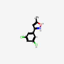 CC(C)c1cc(-c2cc(Cl)cc(Cl)c2)no1